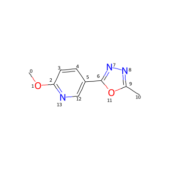 COc1ccc(-c2nnc(C)o2)cn1